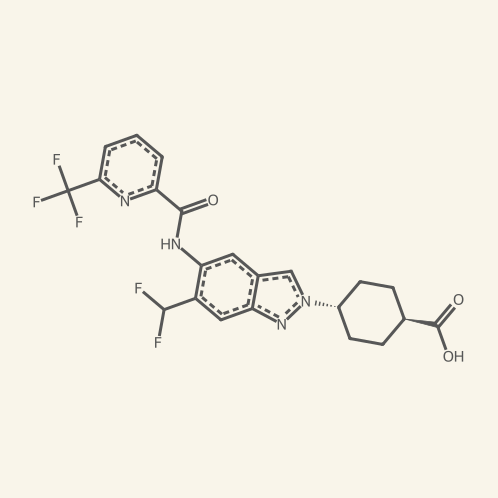 O=C(Nc1cc2cn([C@H]3CC[C@H](C(=O)O)CC3)nc2cc1C(F)F)c1cccc(C(F)(F)F)n1